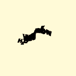 C=Cc1cc2ncc(CN3CCN(c4ccc(C#N)cc4F)CC3)cc2[nH]c1=O